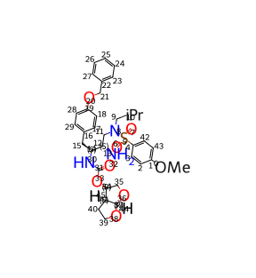 COc1ccc(S(=O)(=O)N(CC(C)C)C[C@H](N)[C@H](Cc2ccc(OCc3ccccc3)cc2)NC(=O)O[C@H]2CO[C@H]3OCC[C@H]32)cc1